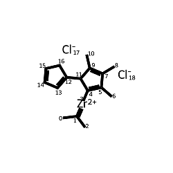 C[C](C)=[Zr+2][C]1=C(C)C(C)=C(C)C1C1=CC=CC1.[Cl-].[Cl-]